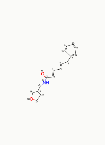 O=C(/C=C/C=C/Cc1ccccc1)NCC1CCOC1